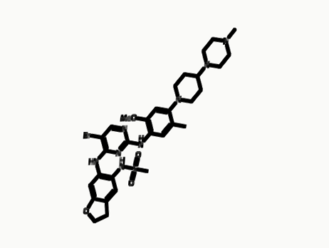 COc1cc(N2CCC(N3CCN(C)CC3)CC2)c(C)cc1Nc1ncc(Br)c(Nc2cc3c(cc2NS(C)(=O)=O)CCO3)n1